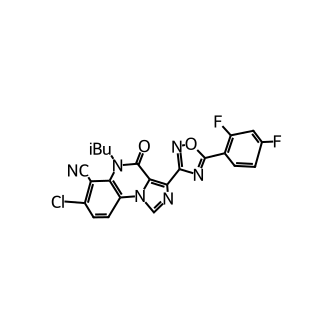 CCC(C)n1c(=O)c2c(-c3noc(-c4ccc(F)cc4F)n3)ncn2c2ccc(Cl)c(C#N)c21